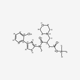 CN(C(=O)C(CC(=O)OC(C)(C)C)CN1CCOCC1)c1nc(-c2ccccc2Cl)cs1